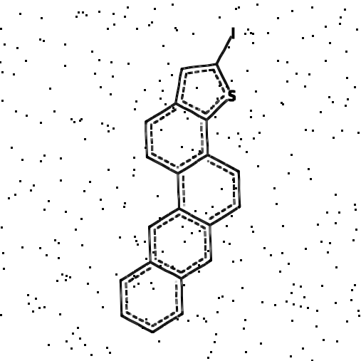 Ic1cc2ccc3c4cc5ccccc5cc4ccc3c2s1